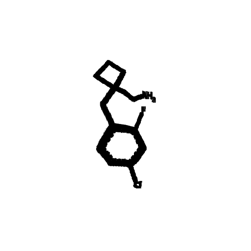 NCC1(Cc2ccc(Cl)cc2F)CCC1